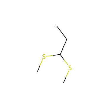 [CH2]CC(SC)SC